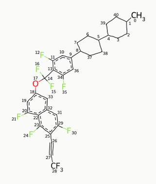 CC1CCC(C2CCC(c3cc(F)c(C(F)(F)Oc4cc(F)c5c(F)c(C#CC(F)(F)F)c(F)cc5c4)c(F)c3)CC2)CC1